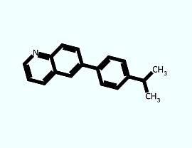 CC(C)c1ccc(-c2ccc3ncccc3c2)cc1